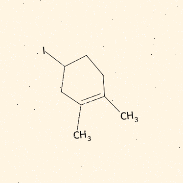 CC1=C(C)CC(I)CC1